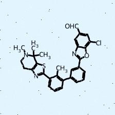 Cc1c(-c2cccc(-c3nc4cc(C=O)cc(Cl)c4o3)c2)cccc1-c1nc2c(s1)C(C)(C)N(C)CC2